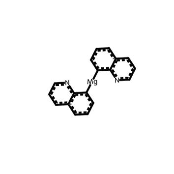 c1cnc2[c]([Mg][c]3cccc4cccnc34)cccc2c1